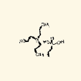 C=CCP(=O)(O)O.OCCN(CCO)CCO